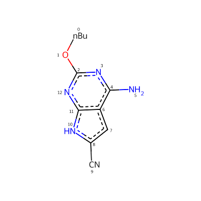 CCCCOc1nc(N)c2cc(C#N)[nH]c2n1